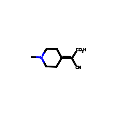 CN1CCC(=C(C#N)C(=O)O)CC1